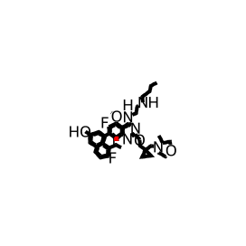 CCCCNCCNc1nc(OCC2(CN3CCOCC3C)CC2)nc2c(F)c(-c3cc(O)cc4ccc(F)c(CC)c34)c(F)c(OC)c12